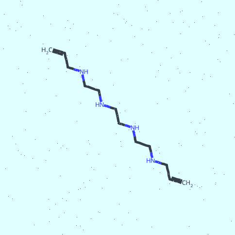 C=CCNCCNCCNCCNCC=C